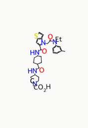 CCN(C(=O)Cn1c(C(=O)NC2CCC(C(=O)NC3CCN(C(=O)O)CC3)CC2)cc2sccc21)c1cccc(C)c1